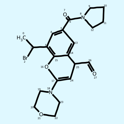 CC(Br)c1cc(C(=O)N2CCCC2)cc2c1OC(N1CCOCC1)=CC2C=O